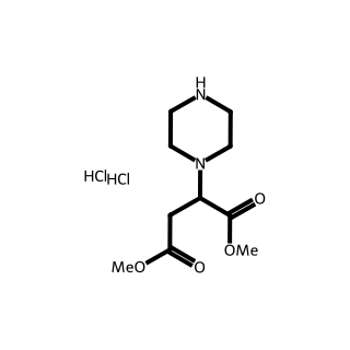 COC(=O)CC(C(=O)OC)N1CCNCC1.Cl.Cl